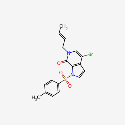 CC=CCn1cc(Br)c2ccn(S(=O)(=O)c3ccc(C)cc3)c2c1=O